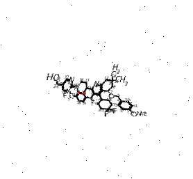 COc1ccc(CO[C@H]2CC(C)(C)Cc3nc(C4CCN(c5ncc(CO)cn5)CC4)c(C(F)c4ccc(C(F)(F)F)cc4)c(C4CCC(F)(F)CC4)c32)cc1